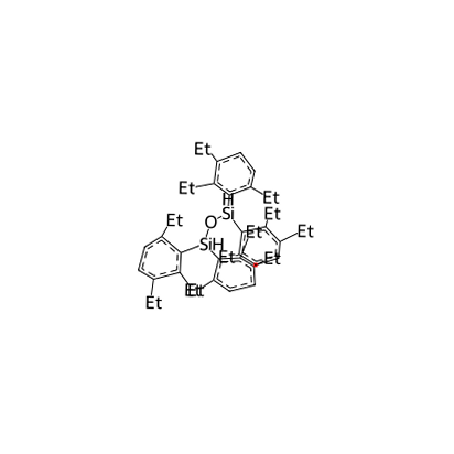 CCc1ccc(CC)c([SiH](O[SiH](c2c(CC)ccc(CC)c2CC)c2c(CC)ccc(CC)c2CC)c2c(CC)ccc(CC)c2CC)c1CC